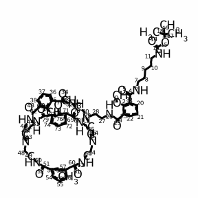 COc1c(C(=O)NCCCCCNC(=O)OC(C)(C)C)cccc1C(=O)NCCN1CCNC(=O)c2cccc(c2C)C(=O)NCCN2CCNC(=O)c3cccc(c3C)C(=O)NCCN(CCNC(=O)c3cccc(c3OC)C(=O)NCC2)CC1